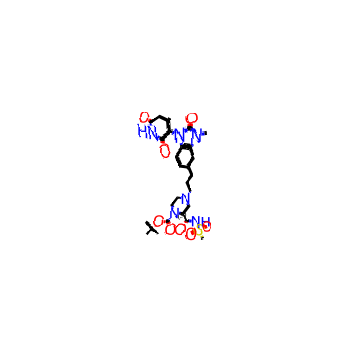 Cn1c(=O)n(C2CCC(=O)NC2=O)c2ccc(CCCN3CCN(C(=O)OC(C)(C)C)[C@H](C(=O)NS(C)(=O)=O)C3)cc21